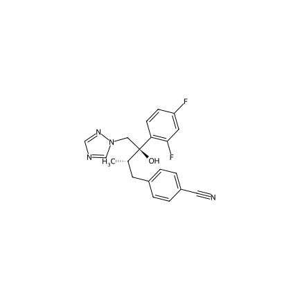 C[C@@H](Cc1ccc(C#N)cc1)[C@](O)(Cn1cncn1)c1ccc(F)cc1F